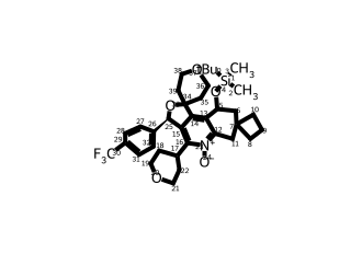 CC(C)(C)[Si](C)(C)OC1CC2(CCC2)Cc2c1c1c(c(C3CCOCC3)[n+]2[O-])[C@@H](c2ccc(C(F)(F)F)cc2)OC12CCOCC2